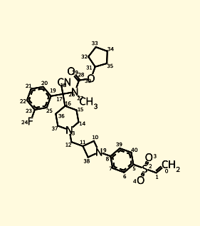 C=CS(=O)(=O)c1ccc(N2CC(CN3CCC(C(C#N)(c4cccc(F)c4)N(C)C(=O)OC4CCCC4)CC3)C2)cc1